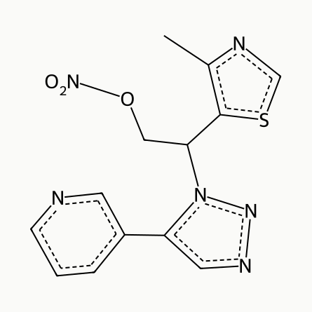 Cc1ncsc1C(CO[N+](=O)[O-])n1nncc1-c1cccnc1